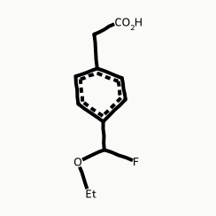 CCOC(F)c1ccc(CC(=O)O)cc1